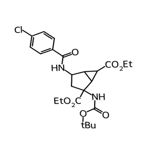 CCOC(=O)C1C2C(NC(=O)c3ccc(Cl)cc3)CC(NC(=O)OC(C)(C)C)(C(=O)OCC)C12